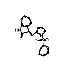 O=C1Nc2ccccc2/C1=C\c1cccn1S(=O)(=O)c1ccccc1